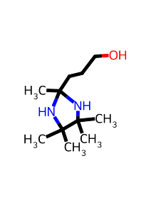 CC1(CCCO)NC(C)(C)C(C)(C)N1